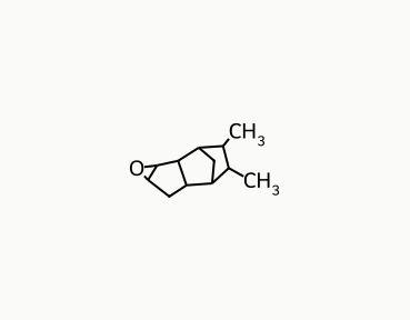 CC1C(C)C2CC1C1CC3OC3C21